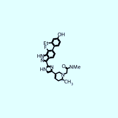 CCc1cc(O)ccc1-c1ccc2c(-c3nc(C4=CC[C@H](C)N(CC(=O)NC)C4)c[nH]3)n[nH]c2c1F